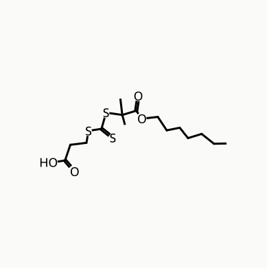 CCCCCCCOC(=O)C(C)(C)SC(=S)SCCC(=O)O